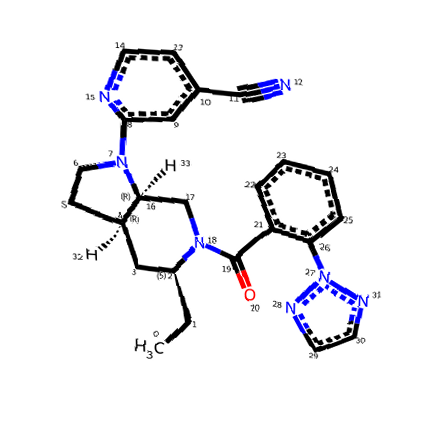 CC[C@H]1C[C@H]2CCN(c3cc(C#N)ccn3)[C@H]2CN1C(=O)c1ccccc1-n1nccn1